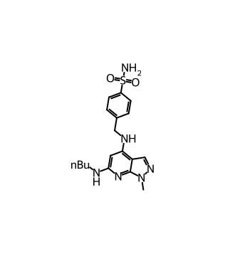 CCCCNc1cc(NCc2ccc(S(N)(=O)=O)cc2)c2cnn(C)c2n1